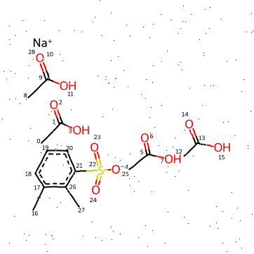 CC(=O)O.CC(=O)O.CC(=O)O.CC(=O)O.Cc1cccc(S(=O)(=O)[O-])c1C.[Na+]